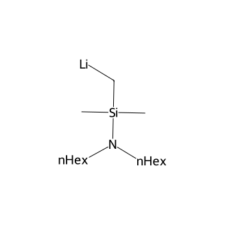 [Li][CH2][Si](C)(C)N(CCCCCC)CCCCCC